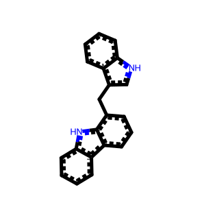 c1ccc2c(Cc3cccc4c3[nH]c3ccccc34)c[nH]c2c1